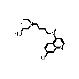 CCN(CCO)CCCCN(C)c1ccnc2cc(Cl)ccc12